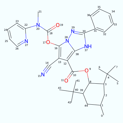 CC1CC(C(C)(C)C)C(OC(=O)c2c(C#N)c(OC(=O)N(C)c3ccccn3)n3nc(-c4ccccc4)[nH]c23)C(C(C)(C)C)C1